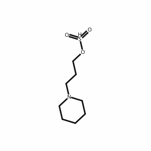 O=[SH](=O)OCCCN1CCCCC1